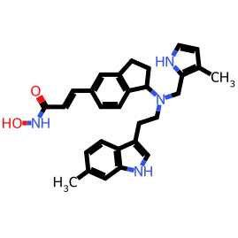 Cc1ccc2c(CCN(Cc3[nH]ccc3C)C3CCc4cc(C=CC(=O)NO)ccc43)c[nH]c2c1